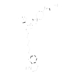 COC(=O)[C@H](CCCCCCCc1ccc2c(n1)NCCC2)NC(=O)C1(C)CCC(NC(=O)OC(C)(C)C)CC1